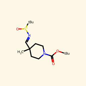 CC1(C=N[S+]([O-])C(C)(C)C)CCN(C(=O)OC(C)(C)C)CC1